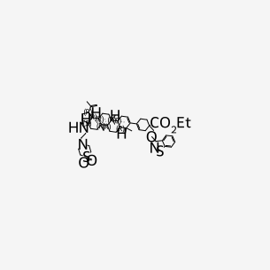 C=C(C)[C@@H]1CC[C@]2(NCCN3CCS(=O)(=O)CC3)CC[C@]3(C)[C@H](CC[C@@H]4[C@@]5(C)CC=C(C6=CCC(COc7nsc8ccccc78)(C(=O)OCC)CC6)C(C)(C)[C@@H]5CC[C@]43C)[C@@H]12